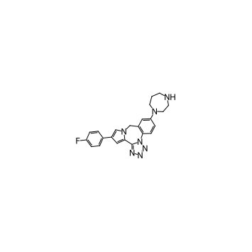 Fc1ccc(-c2cc3n(c2)Cc2cc(N4CCCNCC4)ccc2-n2nnnc2-3)cc1